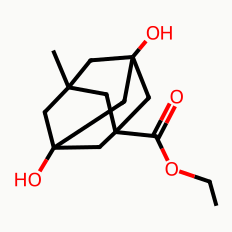 CCOC(=O)C12CC3(C)CC(O)(CC(O)(C3)C1)C2